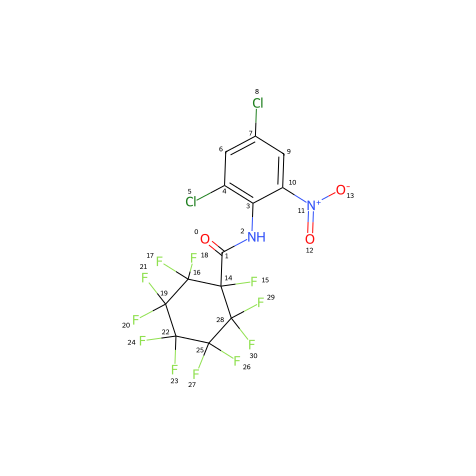 O=C(Nc1c(Cl)cc(Cl)cc1[N+](=O)[O-])C1(F)C(F)(F)C(F)(F)C(F)(F)C(F)(F)C1(F)F